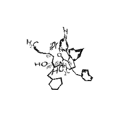 C=C[C@@H](C[C@@H](O)[C@H](CC1CCCCC1)NC(=O)[C@@H](Cc1c[nH]cn1)C(Cc1ccccc1)(Cc1ccccc1)C(=O)O)C(C)C